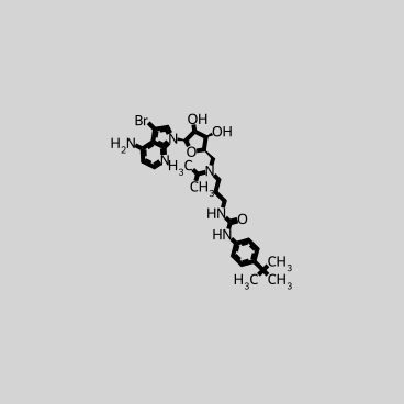 CC(C)N(CCCNC(=O)Nc1ccc(C(C)(C)C)cc1)C[C@H]1O[C@@H](n2cc(Br)c3c(N)ccnc32)C(O)[C@H]1O